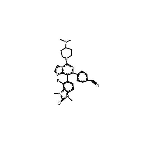 CN(C)C1CCN(c2nc(-c3ccc(C#N)cc3)c(-c3ccc4c(c3F)n(C)c(=O)n4C)c3nccn23)CC1